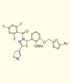 COc1c(OCc2ccc(C(C)=O)o2)cccc1C1SC(C2=CN=CC2)=NN1C(=O)c1c(F)cc(F)cc1F